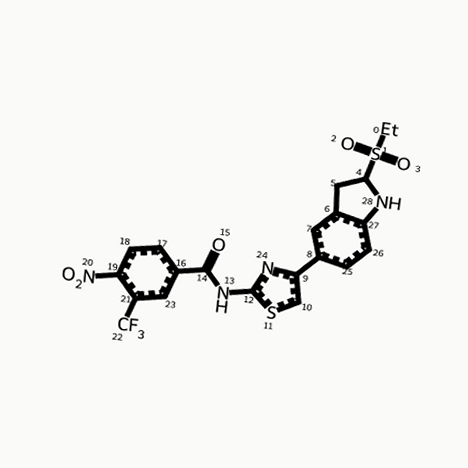 CCS(=O)(=O)C1Cc2cc(-c3csc(NC(=O)c4ccc([N+](=O)[O-])c(C(F)(F)F)c4)n3)ccc2N1